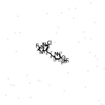 Fc1cnc2c(CCCc3ccc(OC(F)F)cn3)cc(Cl)nn12